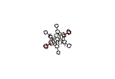 FC(F)(F)c1c(-n2c3c(c4cc(-c5ccccc5)ccc42)C=C(c2ccccc2)CC3)c(-n2c3ccc(-c4ccccc4)cc3c3cc(-c4ccccc4)ccc32)c(C(F)(F)F)c(-n2c3ccc(-c4ccccc4)cc3c3cc(-c4ccccc4)ccc32)c1-n1c2ccc(-c3ccccc3)cc2c2cc(-c3ccccc3)ccc21